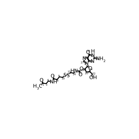 CC(=O)CCNC(=O)CCCSSCCNC(=O)O[C@@H]1CC(CO)O[C@H]1n1cnc2c(=O)[nH]c(N)nc21